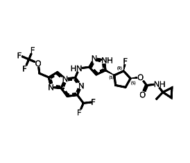 CC1(NC(=O)O[C@H]2CC[C@@H](c3cc(Nc4nc(C(F)F)cc5nc(COC(F)(F)F)cn45)n[nH]3)[C@H]2F)CC1